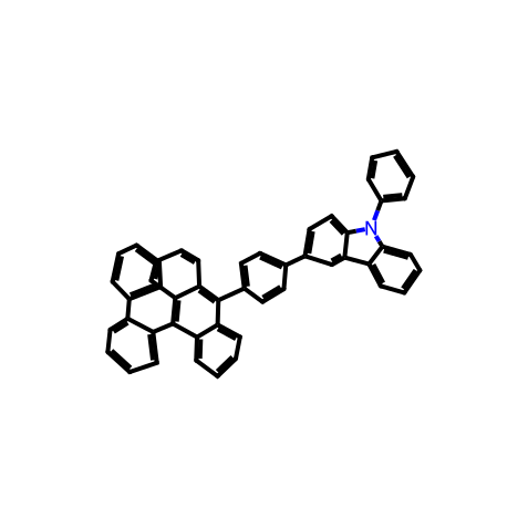 c1ccc(-c2ccccc2-c2c3ccccc3c(-c3ccc(-c4ccc5c(c4)c4ccccc4n5-c4ccccc4)cc3)c3ccccc23)cc1